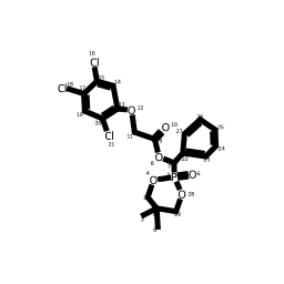 CC1(C)COP(=O)(C(OC(=O)COc2cc(Cl)c(Cl)cc2Cl)c2ccccc2)OC1